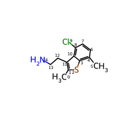 Cc1sc2c(C)ccc(Cl)c2c1CCN